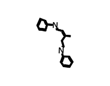 CC(=CC=Nc1ccccc1)CC=Nc1ccccc1